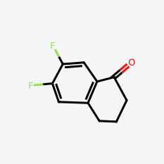 O=C1CCCc2cc(F)c(F)cc21